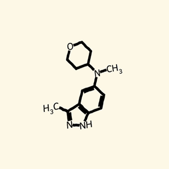 Cc1n[nH]c2ccc(N(C)C3CCOCC3)cc12